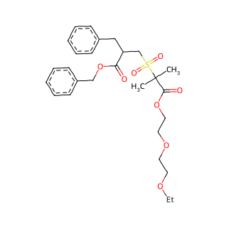 CCOCCOCCOC(=O)C(C)(C)S(=O)(=O)CC(Cc1ccccc1)C(=O)OCc1ccccc1